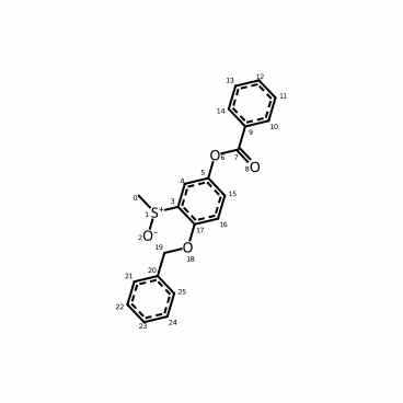 C[S+]([O-])c1cc(OC(=O)c2ccccc2)ccc1OCc1ccccc1